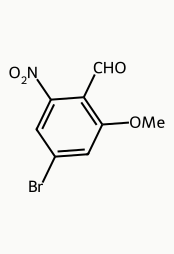 COc1cc(Br)cc([N+](=O)[O-])c1C=O